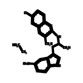 CC(=O)O.COc1ccc2[nH]cc(CC(Nc3nc4ccc(Cl)cc4cc3C(=O)O)C(=O)O)c2c1